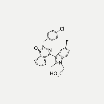 Cc1c(-c2nn(Cc3ccc(Cl)cc3)c(=O)c3ccccc23)c2cc(F)ccc2n1CC(=O)O